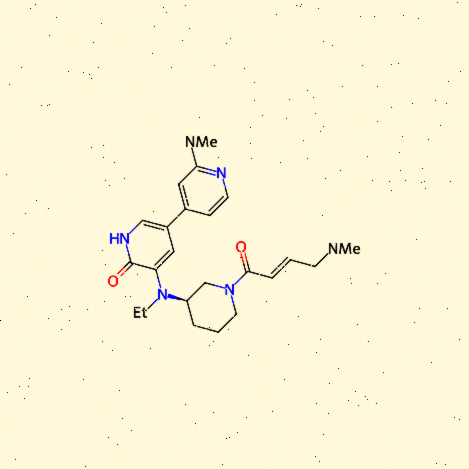 CCN(c1cc(-c2ccnc(NC)c2)c[nH]c1=O)[C@@H]1CCCN(C(=O)C=CCNC)C1